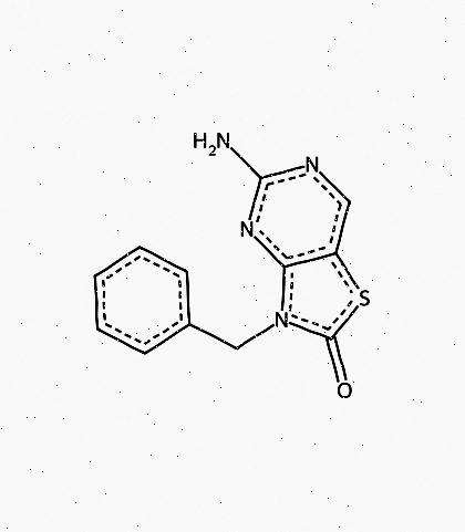 Nc1ncc2sc(=O)n(Cc3ccccc3)c2n1